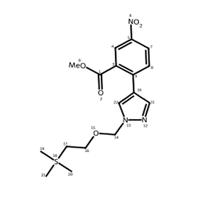 COC(=O)c1cc([N+](=O)[O-])ccc1-c1cnn(COCCS(C)(C)C)c1